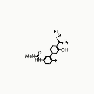 CCCC(=NOCC)C1=C(O)CC(c2cc(NC(=O)NC)ccc2F)CC1